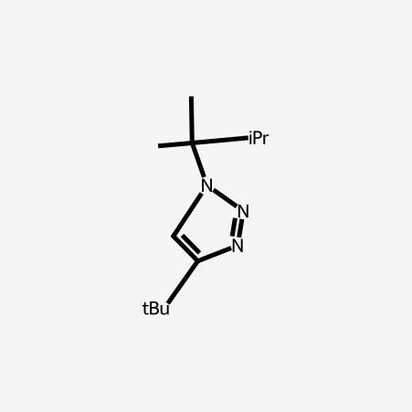 CC(C)C(C)(C)n1cc(C(C)(C)C)nn1